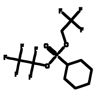 O=P(OCC(F)(F)F)(OC(F)(F)C(F)(F)F)C1CCCCC1